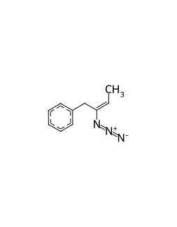 C/C=C(\Cc1ccccc1)N=[N+]=[N-]